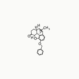 CN1CC[C@]23c4c5ccc(OCc6ccccc6)c4O[C@H]2C(=O)CC[C@@H]3[C@H]1C5